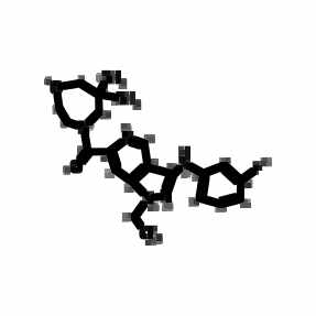 BC1(B)COCCN(C(=O)c2cc3c(cn2)c(Nc2cccc(F)c2)nn3CC(F)(F)F)C1